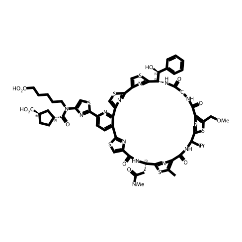 CNC(=O)C[C@@H]1NC(=O)c2csc(n2)-c2ccc(-c3nc(N(CCCCCC(=O)O)C(=O)[C@@H]4CC[C@@H](C(=O)O)C4)cs3)nc2-c2csc(n2)-c2csc(n2)[C@H]([C@@H](O)c2ccccc2)NC(=O)CNC(=O)c2nc(sc2COC)C(C(C)C)NC(=O)c2nc1sc2C